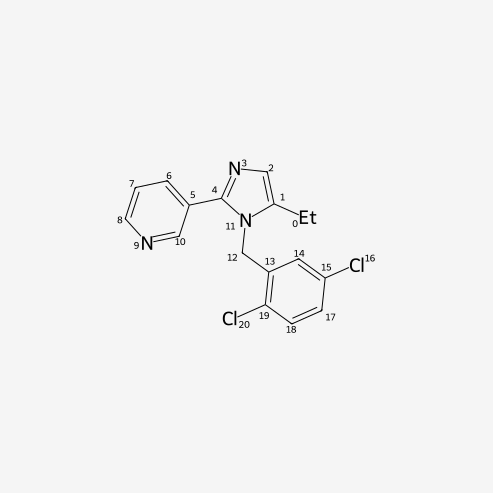 [CH2]Cc1cnc(-c2cccnc2)n1Cc1cc(Cl)ccc1Cl